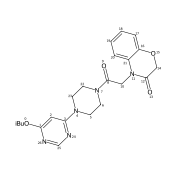 CC(C)COc1cc(N2CCN(C(=O)CN3C(=O)COc4ccccc43)CC2)ncn1